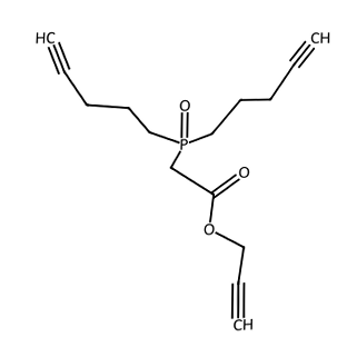 C#CCCCP(=O)(CCCC#C)CC(=O)OCC#C